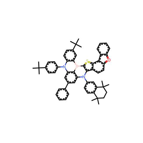 CC(C)(C)c1ccc(N2c3ccc(C(C)(C)C)cc3B3c4sc5c(ccc6oc7ccccc7c65)c4N(c4ccc5c(c4)C(C)(C)CCC5(C)C)c4cc(-c5ccccc5)cc2c43)cc1